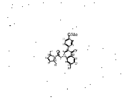 COc1ccc(-c2cn(CC(=O)N3C(C)C=CC3C)c3cc(C)ccc3c2=O)cc1